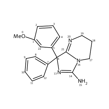 COc1cccc(C2(c3ccccc3)N=C(N)N3CCCN=C32)c1